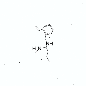 C=Cc1ccccc1CNC(N)CCC